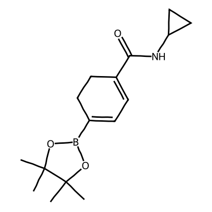 CC1(C)OB(C2=CC=C(C(=O)NC3CC3)CC2)OC1(C)C